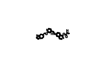 CNC(=O)Oc1nccc2cc(NCc3ccnc(OC[C@H]4CCn5ccnc5C4)c3)ccc12